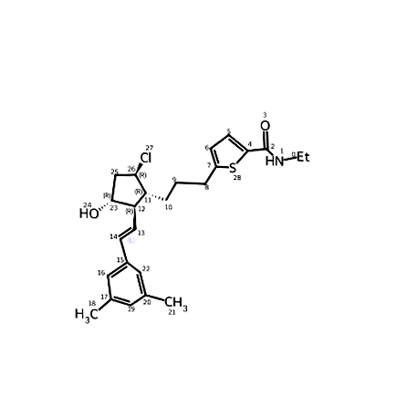 CCNC(=O)c1ccc(CCC[C@@H]2[C@@H](/C=C/c3cc(C)cc(C)c3)[C@H](O)C[C@H]2Cl)s1